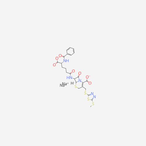 CSc1nnc(SCC2=C(C(=O)[O-])N3C(=O)C(NC(=O)CCCC(NC(=O)c4ccccc4)C(=O)[O-])[C@@H]3SC2)s1.[Na+].[Na+]